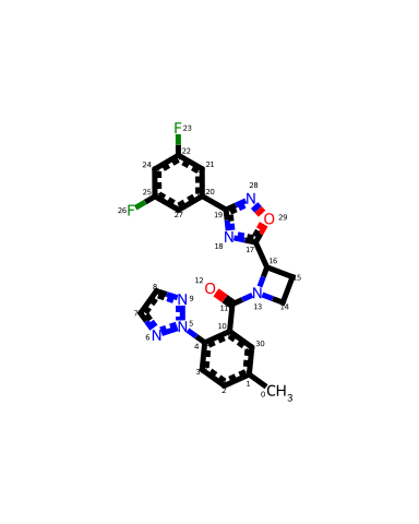 Cc1ccc(-n2nccn2)c(C(=O)N2CCC2c2nc(-c3cc(F)cc(F)c3)no2)c1